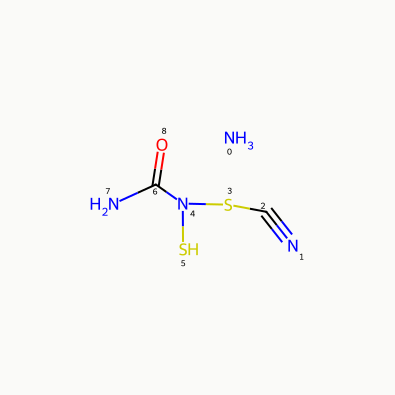 N.N#CSN(S)C(N)=O